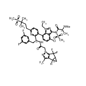 CN[C@@H](C)C(=O)N(c1nn(CC(F)(F)F)c2c(-c3ccc(CCC(C)(C)S(C)(=O)=O)nc3[C@H](Cc3cc(F)cc(F)c3)NC(=O)Cn3nc(C(F)(F)F)c4c3C(F)(F)C3C[C@H]43)ccc(Cl)c12)S(C)(=O)=O